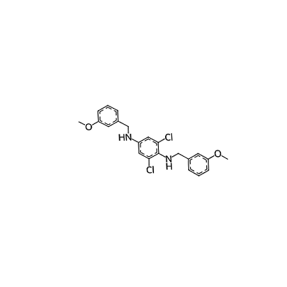 COc1cccc(CNc2cc(Cl)c(NCc3cccc(OC)c3)c(Cl)c2)c1